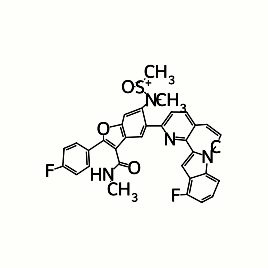 CNC(=O)c1c(-c2ccc(F)cc2)oc2cc(N(C)[S+](C)[O-])c(-c3ccc4c(n3)-c3cc5c(F)cccc5n3CC=C4)cc12